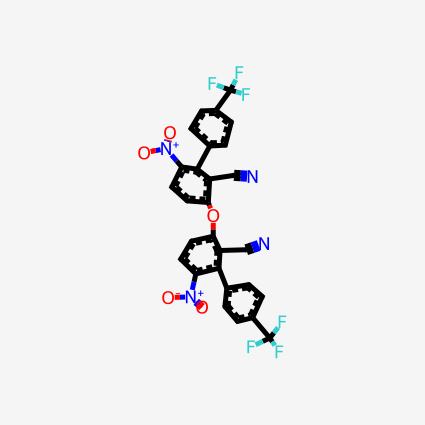 N#Cc1c(Oc2ccc([N+](=O)[O-])c(-c3ccc(C(F)(F)F)cc3)c2C#N)ccc([N+](=O)[O-])c1-c1ccc(C(F)(F)F)cc1